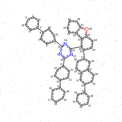 c1ccc(-c2ccc(-c3nc(-c4ccc(-c5ccccc5)cc4)nc(-c4c(-c5ccc6cc(-c7ccccc7)ccc6c5)ccc5oc6ccccc6c45)n3)cc2)cc1